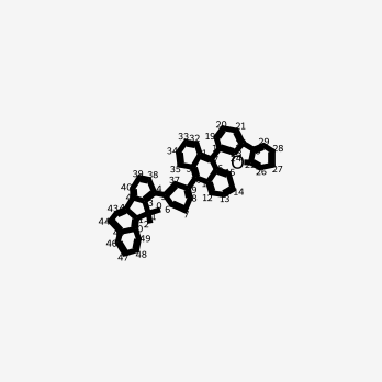 CC1(C)c2c(-c3cccc(-c4c5ccccc5c(-c5cccc6c5oc5ccccc56)c5ccccc45)c3)cccc2-c2ccc3ccccc3c21